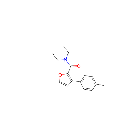 CCN(CC)C(=O)c1occc1-c1ccc(C)cc1